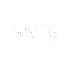 O=C(N[C@H](C(=O)N1CCC(Oc2ccc(OC(F)(F)F)cc2)CC1)C1CC1)c1nc2ccccc2nc1O